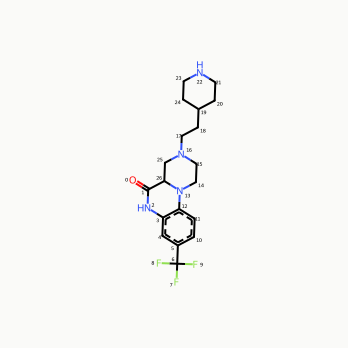 O=C1Nc2cc(C(F)(F)F)ccc2N2CCN(CCC3CCNCC3)CC12